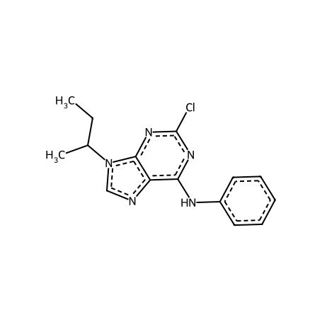 CCC(C)n1cnc2c(Nc3ccccc3)nc(Cl)nc21